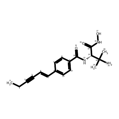 CCC#C/C=C/c1ccc(C(=O)N[C@H](C(=O)NO)C(C)(C)N)cc1